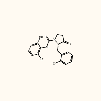 CCc1cccc(O)c1NC(=O)[C@H]1CCC(=O)N1Cc1ccccc1Cl